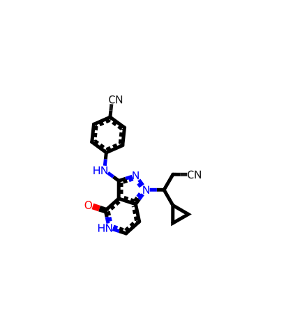 N#CCC(C1CC1)n1nc(Nc2ccc(C#N)cc2)c2c(=O)[nH]ccc21